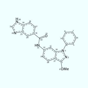 COc1nn(-c2ccccc2)c2cc(NC(=O)c3ccc4[nH]cnc4c3)ccc12